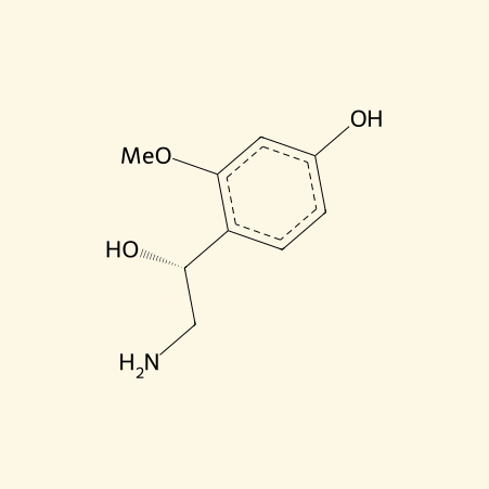 COc1cc(O)ccc1[C@@H](O)CN